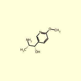 COc1ccc([C@H](O)[C@H](C)N)cn1